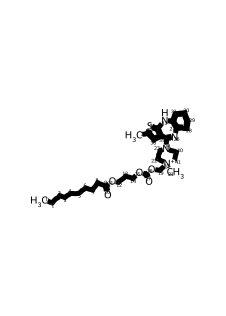 CCCCCCCCCC(=O)OCCCOC(=O)OC[N+]1(C)CCN(C2=Nc3ccccc3Nc3sc(C)cc32)CC1